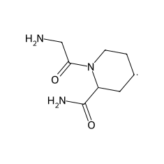 NCC(=O)N1CC[CH]CC1C(N)=O